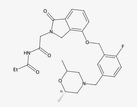 CCC(=O)NC(=O)CN1Cc2c(OCc3cc(CN4CC(C)O[C@@H](C)C4)ccc3F)cccc2C1=O